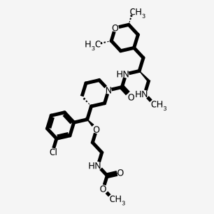 CNC[C@H](CC1C[C@@H](C)O[C@@H](C)C1)NC(=O)N1CCC[C@@H]([C@@H](OCCNC(=O)OC)c2cccc(Cl)c2)C1